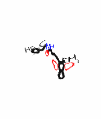 CC1=C(CCCC(=O)NC(Cc2ccccc2)C(=O)O)C(=O)c2ccccc2C1=O